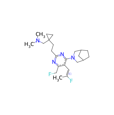 C/C(F)=C\c1c(CF)nc(CCC2(CN(C)C)CC2)nc1N1CC2CCC(C2)C1